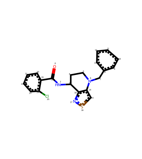 O=C(NC1CCN(Cc2ccccc2)c2csnc21)c1ccccc1Cl